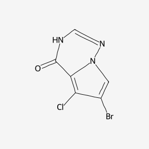 O=c1[nH]cnn2cc(Br)c(Cl)c12